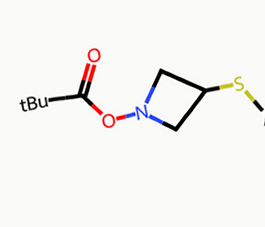 CC(=O)SC1CN(OC(=O)C(C)(C)C)C1